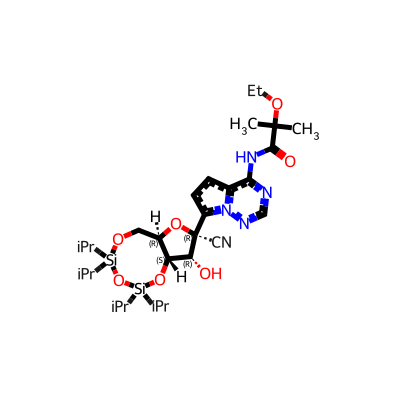 CCOC(C)(C)C(=O)Nc1ncnn2c([C@]3(C#N)O[C@@H]4CO[Si](C(C)C)(C(C)C)O[Si](C(C)C)(C(C)C)O[C@H]4[C@H]3O)ccc12